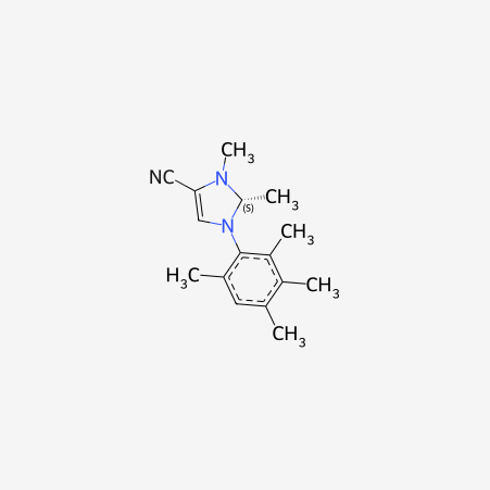 Cc1cc(C)c(N2C=C(C#N)N(C)[C@@H]2C)c(C)c1C